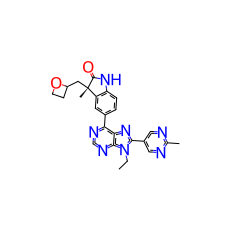 CCn1c(-c2cnc(C)nc2)nc2c(-c3ccc4c(c3)[C@](C)(CC3CCO3)C(=O)N4)ncnc21